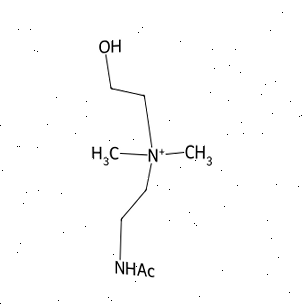 CC(=O)NCC[N+](C)(C)CCO